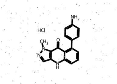 Cl.Cn1ncc2[nH]c3cccc(-c4ccc(N)cc4)c3c(=O)c21